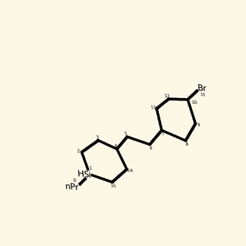 CCC[SiH]1CCC(CCC2CCC(Br)CC2)CC1